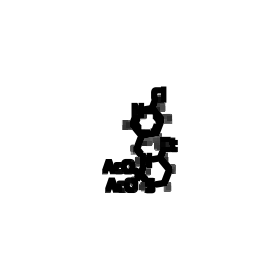 CCC1CCSC(OC(C)=O)(OC(C)=O)N1Cc1ccc(Cl)nc1